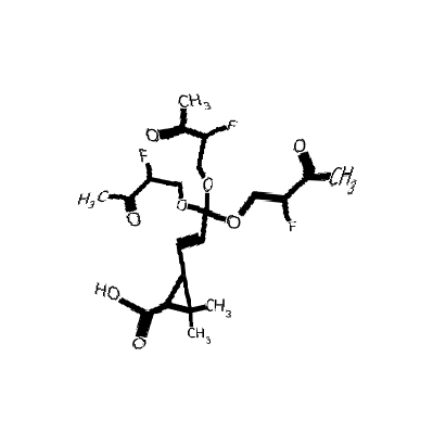 CC(=O)C(F)COC(C=CC1C(C(=O)O)C1(C)C)(OCC(F)C(C)=O)OCC(F)C(C)=O